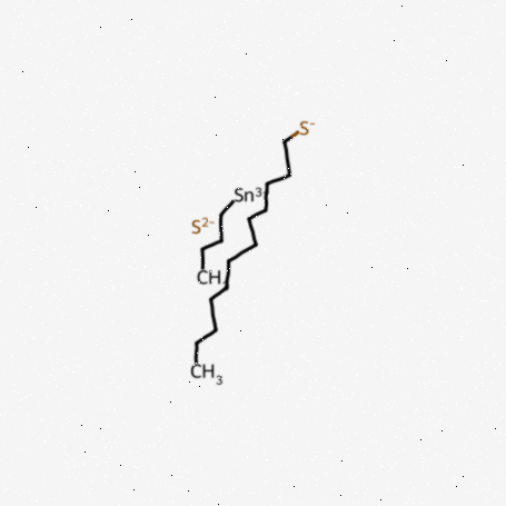 CCCCCCCCCCCC[S-].CCC[CH2][Sn+3].[S-2]